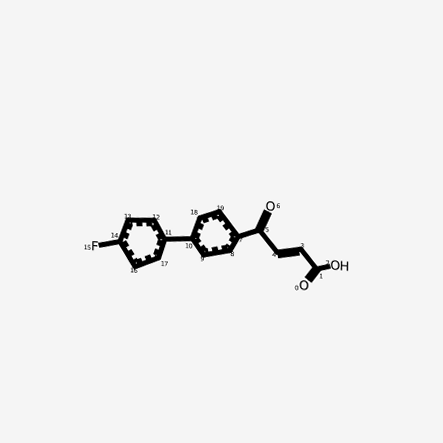 O=C(O)C=CC(=O)c1ccc(-c2ccc(F)cc2)cc1